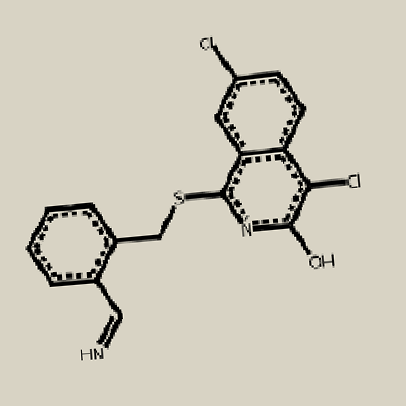 N=Cc1ccccc1CSc1nc(O)c(Cl)c2ccc(Cl)cc12